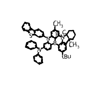 Cc1cc2c3c(c1)N1c4c(cc(C(C)(C)C)cc4C4(C)CCCCC14C)B3c1ccc(N(c3ccccc3)c3ccccc3)cc1N2c1ccc2c(c1)sc1ccccc12